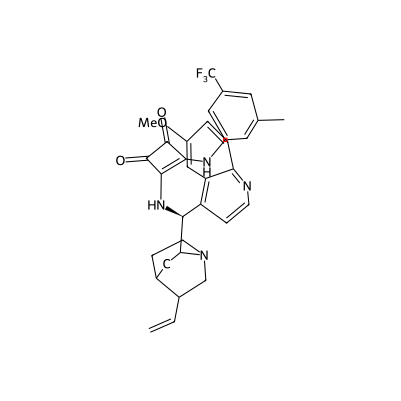 C=CC1CN2CCC1CC2[C@@H](Nc1c(Nc2cc(C)cc(C(F)(F)F)c2)c(=O)c1=O)c1ccnc2ccc(OC)cc12